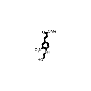 COC(=O)C=Cc1ccc(NCCO)c([N+](=O)[O-])c1